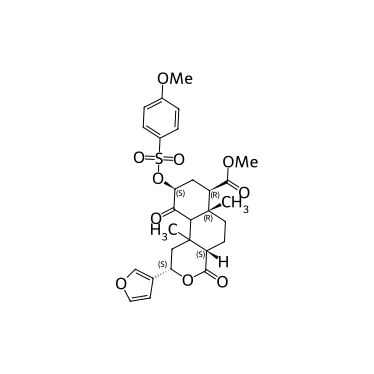 COC(=O)[C@@H]1C[C@H](OS(=O)(=O)c2ccc(OC)cc2)C(=O)C2C3(C)C[C@@H](c4ccoc4)OC(=O)[C@H]3CC[C@]21C